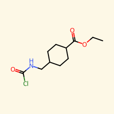 CCOC(=O)C1CCC(CNC(=O)Cl)CC1